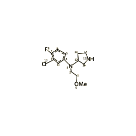 COCCN(c1ccc(F)c(Cl)c1)C1CCNC1